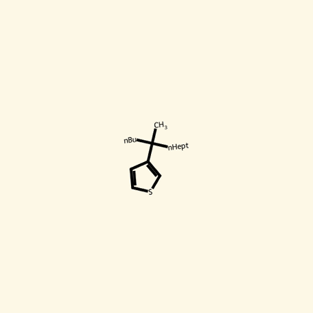 CCCCCCCC(C)(CCCC)c1ccsc1